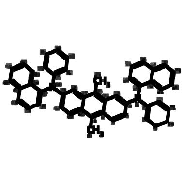 Cc1c2ccc(N(C3=CCCC=C3)c3cccc4ccccc34)cc2c(C)c2cc(N(c3ccccc3)c3cccc4ccccc34)ccc12